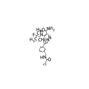 C[C@@H](Nc1c(C(N)=O)cnn2cc(-c3cccc(CNC(=O)C4CC4)c3)cc12)C(C)(C)F